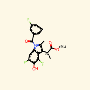 CCCCOC(=O)[C@@H](C)c1c(C)n(C(=O)c2cccc(F)c2)c2cc(F)c(O)c(F)c12